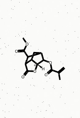 C=C(C)C(=O)OC1C2CC3C(C(=O)O[C@H]31)C2C(=O)OC